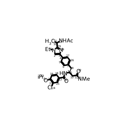 CCn1cc(-c2ccc(C[C@@H](CC(=O)NC)NC(=O)c3ccc(OC(C)C)c(Cl)c3)cc2)nc1C(C)NC(C)=O